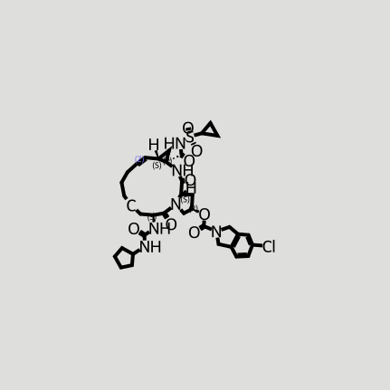 O=C(NC1CCCC1)N[C@H]1CCCCC/C=C\[C@@H]2C[C@@]2(C(=O)NS(=O)(=O)C2CC2)NC(=O)[C@@H]2C[C@@H](OC(=O)N3Cc4ccc(Cl)cc4C3)CN2C1=O